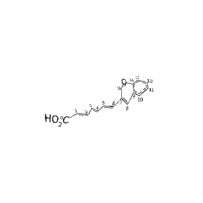 O=C(O)/C=C/C=C/C=C/C1=Cc2ccccc2OC1